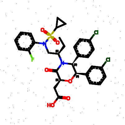 CC[C@H](CN(c1ccccc1F)S(=O)(=O)C1CC1)N1C(=O)[C@H](CC(=O)O)O[C@H](c2cccc(Cl)c2)[C@H]1c1ccc(Cl)cc1